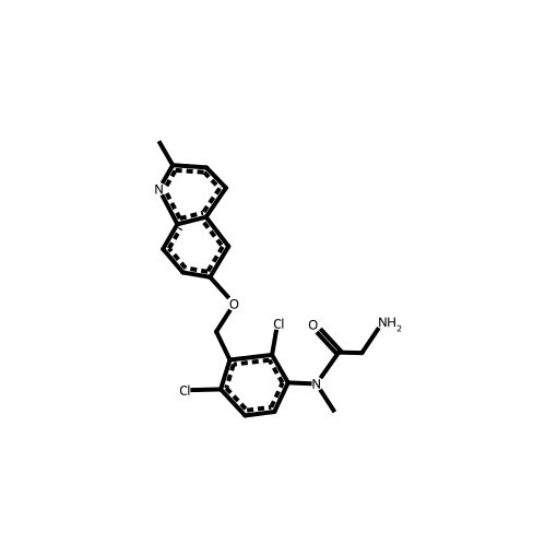 Cc1ccc2cc(OCc3c(Cl)ccc(N(C)C(=O)CN)c3Cl)ccc2n1